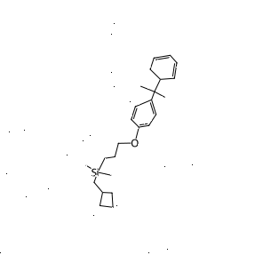 CC(C)(c1ccc(OCCC[Si](C)(C)CC2CCC2)cc1)C1C=CC=CC1